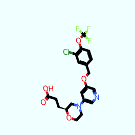 O=C(O)CC[C@H]1CN(c2cncc(OCc3ccc(OC(F)(F)F)c(Cl)c3)c2)CCO1